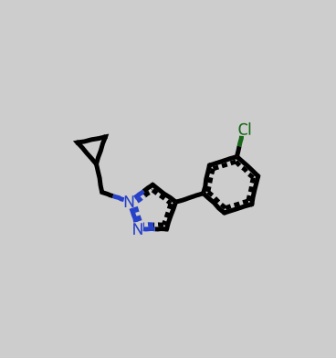 Clc1cccc(-c2cnn(CC3CC3)c2)c1